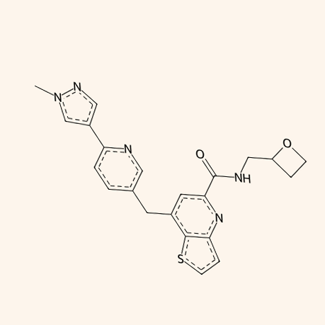 Cn1cc(-c2ccc(Cc3cc(C(=O)NCC4CCO4)nc4ccsc34)cn2)cn1